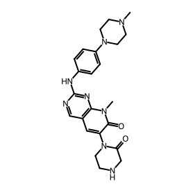 CN1CCN(c2ccc(Nc3ncc4cc(N5CCNCC5=O)c(=O)n(C)c4n3)cc2)CC1